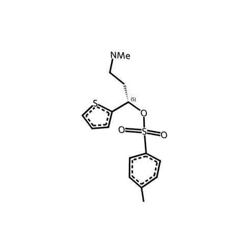 CNCC[C@H](OS(=O)(=O)c1ccc(C)cc1)c1cccs1